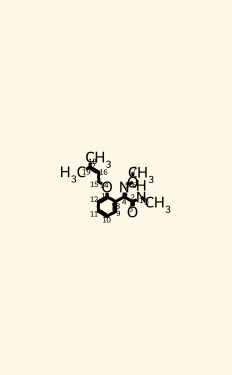 CNC(=O)/C(=N\OC)c1ccccc1OCC=C(C)C